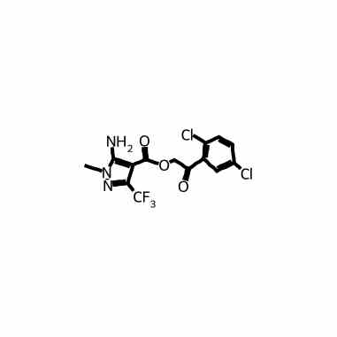 Cn1nc(C(F)(F)F)c(C(=O)OCC(=O)c2cc(Cl)ccc2Cl)c1N